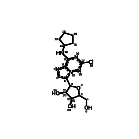 OCC1OC(c2cnc3c(NC4CCCC4)nc(Cl)nn23)[C@H](O)[C@@H]1O